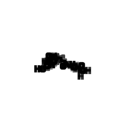 C[C@H](CCC(=O)NCc1ccc(C(=O)NO)cc1)[C@H]1CC[C@H]2[C@@H]3[C@@H](O)C[C@@H]4C[C@H](O)CC[C@]4(C)[C@H]3CC[C@]12C